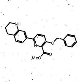 COC(=O)c1nc(-c2ccc3c(c2)NCCC3)ccc1OCc1ccccc1